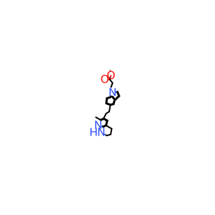 COC(=O)CCn1ccc2cc(CCc3cc4c(nc3C)NCCC4)ccc21